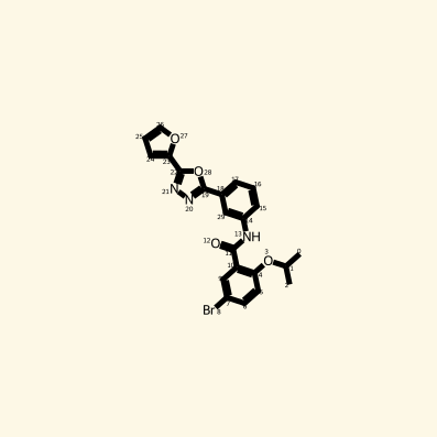 CC(C)Oc1ccc(Br)cc1C(=O)Nc1cccc(-c2nnc(-c3ccco3)o2)c1